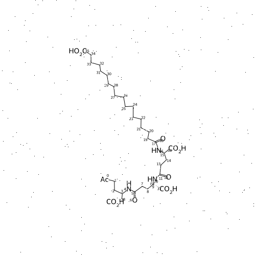 CC(=O)CCC(NC(=O)CC[C@H](NC(=O)CCC(NC(=O)CCCCCCCCCCCCCCCCC(=O)O)C(=O)O)C(=O)O)C(=O)O